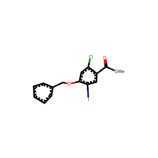 COC(=O)c1cc(I)c(OCc2ccccc2)cc1Cl